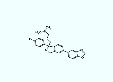 CN(C)CCCC1(c2ccc(F)cc2)OCc2cc(-c3ccc4ocnc4c3)ccc21